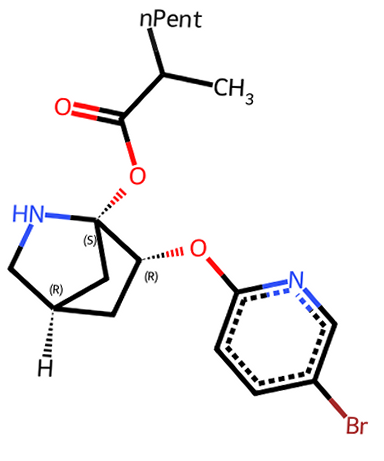 CCCCCC(C)C(=O)O[C@]12C[C@H](CN1)C[C@H]2Oc1ccc(Br)cn1